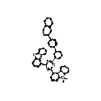 C[Si]1(C)c2ccccc2-c2c(-c3nc(-c4cccc(-c5ccc(-c6ccc7ccccc7c6)cc5)c4)nc(-c4cccc5oc6ccccc6c45)n3)cccc21